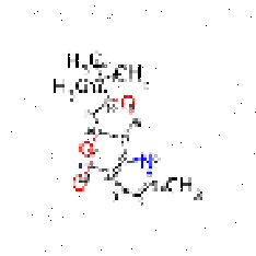 Cc1ccc2c(n1)C1COC(C(C)(C)C)CC1OC2=O